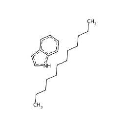 CCCCCCCCCCCC.c1ccc2[nH]ccc2c1